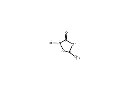 CC1OC(=O)N(O)O1